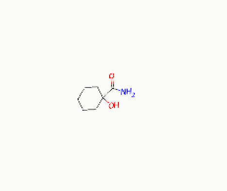 NC(=O)C1(O)CCCCC1